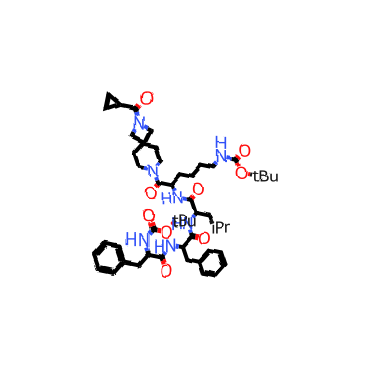 CC(C)CC(NC(=O)C(Cc1ccccc1)NC(=O)C(Cc1ccccc1)NC(=O)OC(C)(C)C)C(=O)NC(CCCCNC(=O)OC(C)(C)C)C(=O)N1CCC2(CC1)CN(C(=O)C1CC1)C2